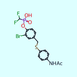 CC(=O)Nc1ccc(SCc2ccc(OP(=O)(O)C(F)F)c(Br)c2)cc1